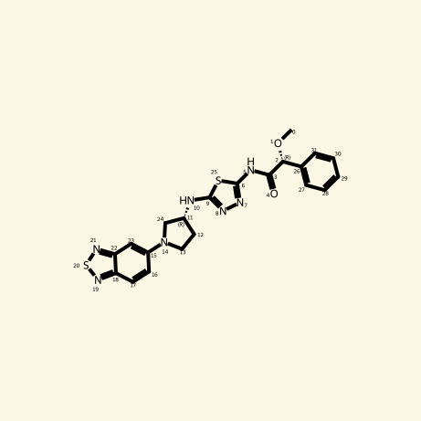 CO[C@@H](C(=O)Nc1nnc(N[C@@H]2CCN(c3ccc4nsnc4c3)C2)s1)c1ccccc1